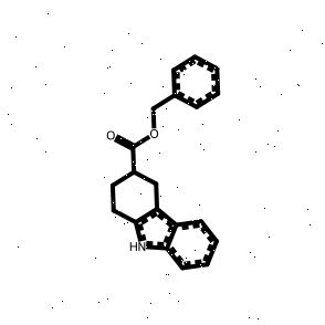 O=C(OCc1ccccc1)C1CCc2[nH]c3ccccc3c2C1